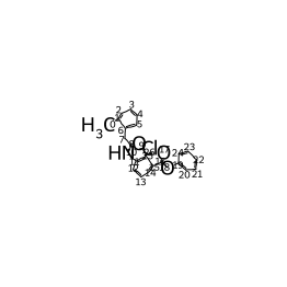 Cc1ccccc1CC(=O)Nc1cccc(C(=O)Oc2ccccc2)c1Cl